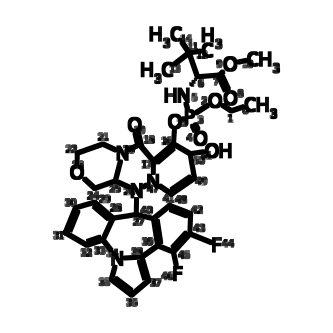 CCOP(=O)(N[C@@H](C(=O)OC)C(C)(C)C)OC1=C2C(=O)N3CCOCC3N(C3c4ccccc4-n4cccc4-c4c3ccc(F)c4F)N2C=CC1O